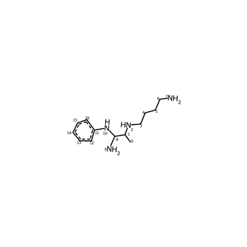 CC(NCCCCN)C(N)Nc1ccccc1